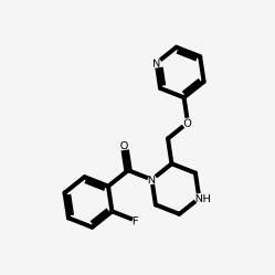 O=C(c1ccccc1F)N1CCNCC1COc1cccnc1